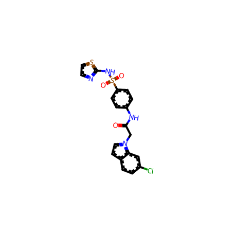 O=C(Cn1ccc2ccc(Cl)cc21)Nc1ccc(S(=O)(=O)Nc2nccs2)cc1